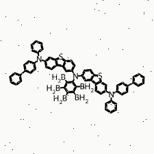 Bc1c(B)c(B)c(N(c2ccc3sc4cc(N(c5ccccc5)c5ccc(-c6ccccc6)cc5)ccc4c3c2)c2ccc3sc4cc(N(c5ccccc5)c5ccc(-c6ccccc6)cc5)ccc4c3c2)c(B)c1B